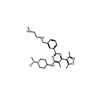 CNCCNCc1cccc(-c2nc(NC3CCN([S+](C)[O-])CC3)c(C)c(-c3c(C)noc3C)n2)c1